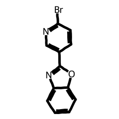 Brc1ccc(-c2nc3ccccc3o2)cn1